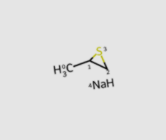 CC1CS1.[NaH]